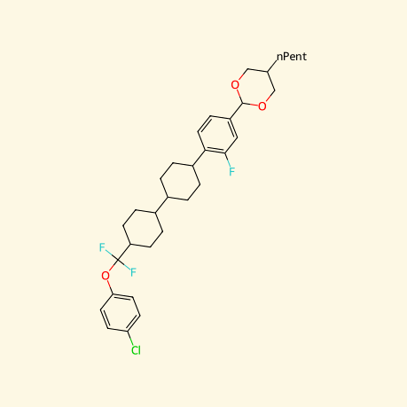 CCCCCC1COC(c2ccc(C3CCC(C4CCC(C(F)(F)Oc5ccc(Cl)cc5)CC4)CC3)c(F)c2)OC1